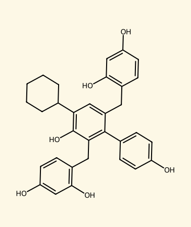 Oc1ccc(-c2c(Cc3ccc(O)cc3O)cc(C3CCCCC3)c(O)c2Cc2ccc(O)cc2O)cc1